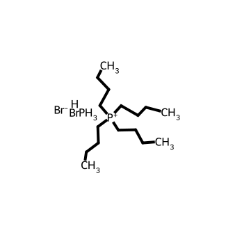 Br.CCCC[P+](CCCC)(CCCC)CCCC.P.[Br-]